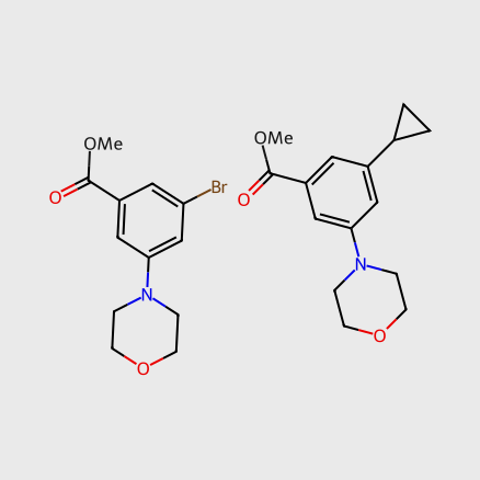 COC(=O)c1cc(Br)cc(N2CCOCC2)c1.COC(=O)c1cc(C2CC2)cc(N2CCOCC2)c1